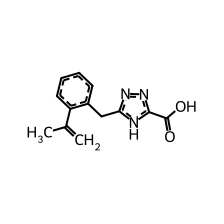 C=C(C)c1ccccc1Cc1nnc(C(=O)O)[nH]1